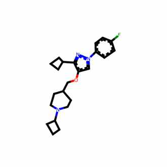 Fc1ccc(-n2cc(OCC3CCN(C4CCC4)CC3)c(C3CCC3)n2)cc1